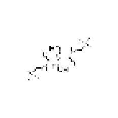 CC(C)(C)COC(=O)[C@@H](O)[C@@H](O)C(=O)OCC(C)(C)C